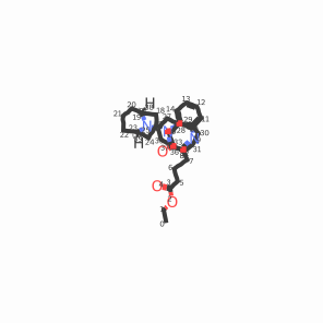 CCOC(=O)CCCc1nc2ccccc2n([C@H]2C[C@H]3CCC[C@@H](C2)N3C2CC3CCCCC(C3)C2)c1=O